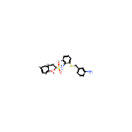 Nc1cccc(CSc2ccccc2NS(=O)(=O)C2Cc3ccccc3O2)c1